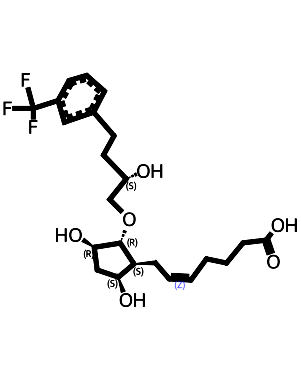 O=C(O)CCC/C=C\C[C@@H]1[C@@H](OC[C@@H](O)CCc2cccc(C(F)(F)F)c2)[C@H](O)C[C@@H]1O